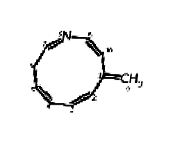 C=C1/C=C\C=C/C/C=N\C=C/1